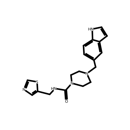 O=C(NCc1cncs1)N1CCN(Cc2ccc3[nH]ccc3c2)CC1